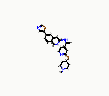 C=C(Nc1cc2cc(-c3cncs3)ccc2cn1)c1ccnc(SC2CCN(C)CC2)c1